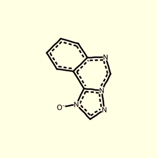 [O-][n+]1cnn2cnc3ccccc3c21